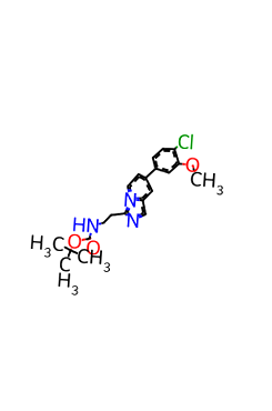 COc1cc(-c2ccn3c(CCNC(=O)OC(C)(C)C)ncc3c2)ccc1Cl